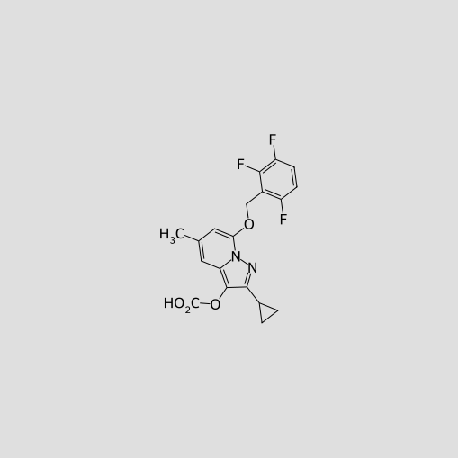 Cc1cc(OCc2c(F)ccc(F)c2F)n2nc(C3CC3)c(OC(=O)O)c2c1